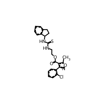 Cc1onc(-c2ccccc2Cl)c1C(=O)OCCNC(=S)NC1CCc2ccccc21